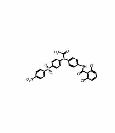 NC(=O)N(c1ccc(NC(=O)c2c(Cl)cccc2Cl)cc1)c1ccc(S(=O)(=O)c2ccc([N+](=O)[O-])cc2)cc1